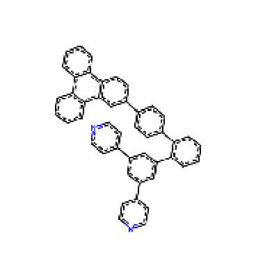 c1ccc(-c2cc(-c3ccncc3)cc(-c3ccncc3)c2)c(-c2ccc(-c3ccc4c5ccccc5c5ccccc5c4c3)cc2)c1